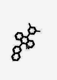 Cc1cc(C)cc(-c2c3ccccc3c(-c3ccc4ccccc4c3)c3ncccc23)c1